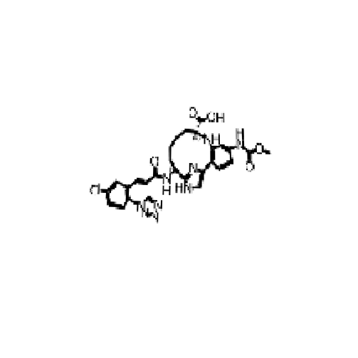 COC(=O)Nc1ccc2c(c1)N[C@@H](C(=O)O)CCCC[C@H](NC(=O)C=Cc1cc(Cl)ccc1-n1cnnn1)c1nc-2c[nH]1